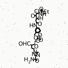 CCC(=O)N[C@@H](C)C(=O)NCC(=O)Nc1ccc2c(c1)COP(=O)(OC[C@H]1O[C@@H](n3cnc(C(N)=O)n3)CC1C=O)O2